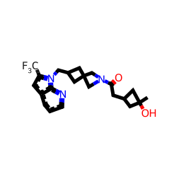 CC1(O)CC(CC(=O)N2CC3(CC(Cn4c(C(F)(F)F)cc5cccnc54)C3)C2)C1